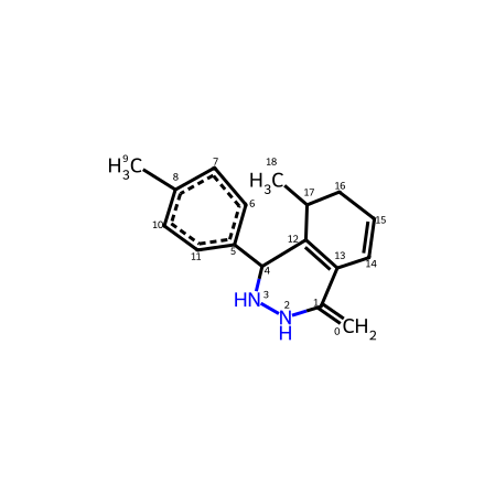 C=C1NNC(c2ccc(C)cc2)C2=C1C=CCC2C